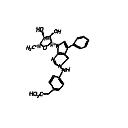 C[C@H]1O[C@@H](n2cc(-c3ccccc3)c3c2N=CN(Nc2ccc(CC(=O)O)cc2)C3)[C@H](O)[C@@H]1O